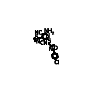 N#Cc1c(N)nc(SCc2coc(-c3ccc(Cl)cc3)n2)c(C#N)c1-c1nccs1